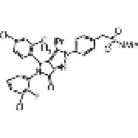 CNS(=O)(=O)Cc1ccc(-n2nc3c(c2C(C)C)C(c2ccc(Cl)cc2C)N(c2cccc(Cl)c2F)C3=O)cc1